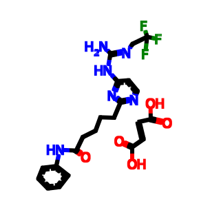 NC(=NCC(F)(F)F)Nc1ccnc(CCCCC(=O)Nc2ccccc2)n1.O=C(O)C=CC(=O)O